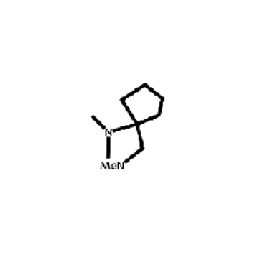 CNCC1(N(C)C)CCCC1